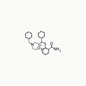 NC(=O)c1cccnc1SC(c1ccccc1)[C@@H]1CN(Cc2ccccc2)CCO1